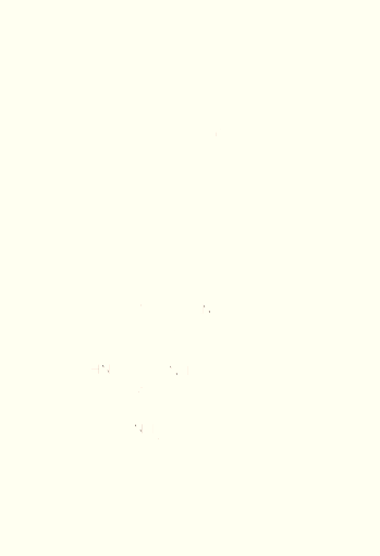 N=C(N)Nc1nc(-c2ccc3c(c2)OCO3)cs1